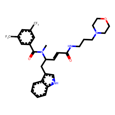 CN(C(=O)c1cc(C(F)(F)F)cc(C(F)(F)F)c1)C(C=CC(=O)NCCCN1CCOCC1)Cc1c[nH]c2ccccc12